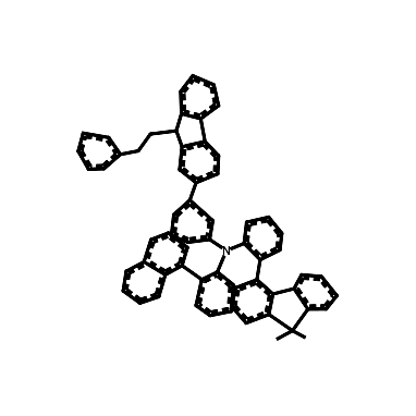 CC1(C)c2ccccc2-c2c(-c3ccccc3N(c3cccc(-c4ccc5c(c4)C(CCc4ccccc4)c4ccccc4-5)c3)c3ccccc3-c3cccc4ccccc34)cccc21